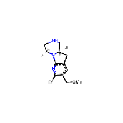 CCc1nc2c(cc1COC)C[C@@H]1CNC[C@@H](C)N21